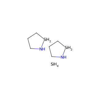 C1CN[SiH2]C1.C1CN[SiH2]C1.[SiH4]